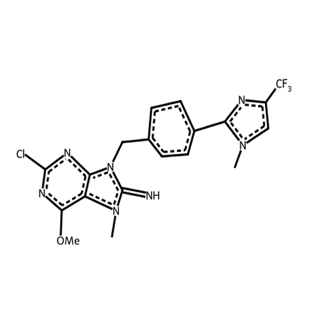 COc1nc(Cl)nc2c1n(C)c(=N)n2Cc1ccc(-c2nc(C(F)(F)F)cn2C)cc1